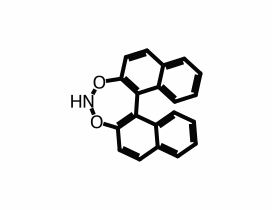 c1ccc2c(c1)ccc1o[nH]oc3ccc4ccccc4c3c12